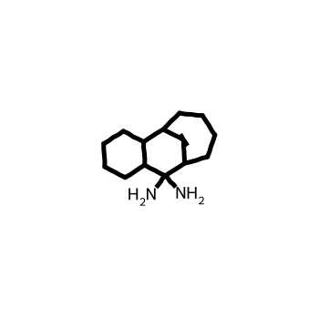 NC1(N)C2CCCCC2C2CCCCC1C21CC1